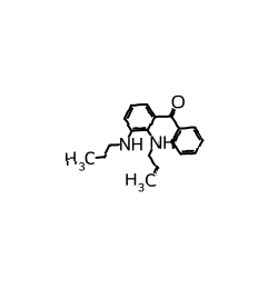 CCCNc1cccc(C(=O)c2ccccc2)c1NCCC